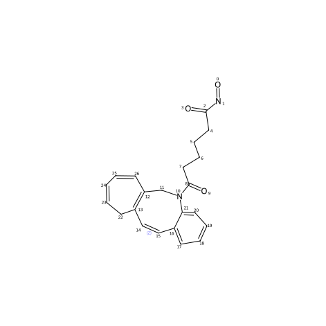 O=NC(=O)CCCCC(=O)N1CC2=C(/C=C\c3ccccc31)CC=CC=C2